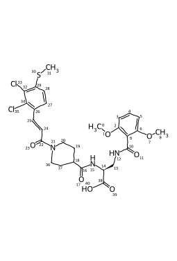 COc1cccc(OC)c1C(=O)NC[C@H](NC(=O)C1CCN(C(=O)C=Cc2ccc(SC)c(Cl)c2Cl)CC1)C(=O)O